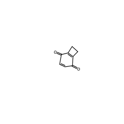 O=C1C=CC(=O)C2=C1CC2